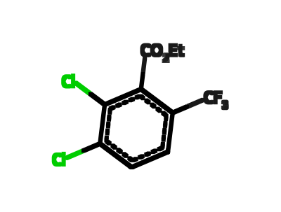 CCOC(=O)c1c(C(F)(F)F)ccc(Cl)c1Cl